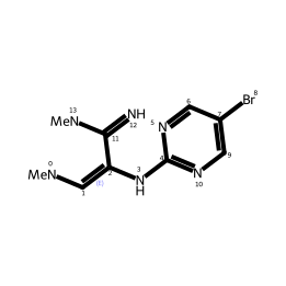 CN/C=C(/Nc1ncc(Br)cn1)C(=N)NC